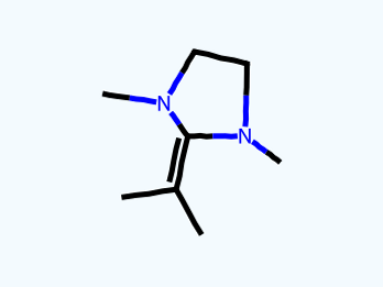 CC(C)=C1N(C)CCN1C